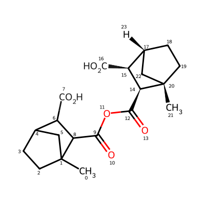 CC12CCC(C1)C(C(=O)O)C2C(=O)OC(=O)[C@H]1[C@@H](C(=O)O)[C@@H]2CC[C@@]1(C)C2